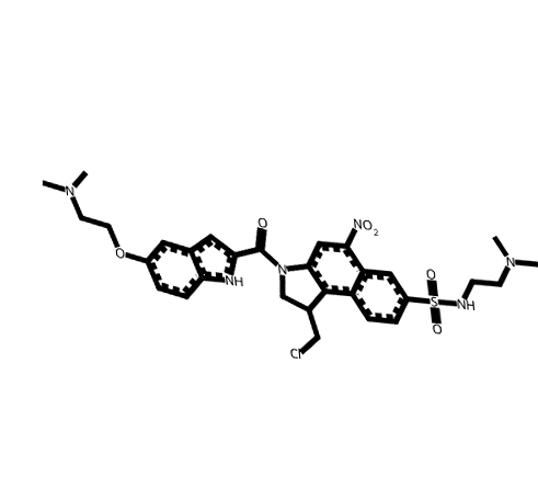 CN(C)CCNS(=O)(=O)c1ccc2c3c(cc([N+](=O)[O-])c2c1)N(C(=O)c1cc2cc(OCCN(C)C)ccc2[nH]1)CC3CCl